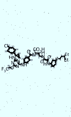 CCN(CC)CCOc1cccc(NC(=O)C(=O)NCC[C@H](NC(=O)c2ccc(Nc3nc(NC4(c5ccc(Cl)cc5)CC4)nc(OCC(F)(F)F)n3)cc2)C(=O)O)c1